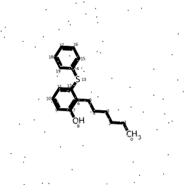 CCCCCCc1c(O)cccc1Sc1ccccc1